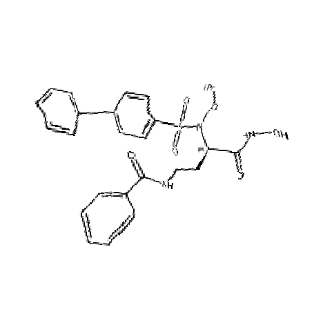 CC(C)ON([C@H](CCNC(=O)c1ccccc1)C(=O)NO)S(=O)(=O)c1ccc(-c2ccccc2)cc1